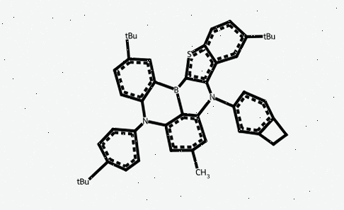 Cc1cc2c3c(c1)N(c1ccc4c(c1)CC4)c1c(sc4ccc(C(C)(C)C)cc14)B3c1cc(C(C)(C)C)ccc1N2c1ccc(C(C)(C)C)cc1